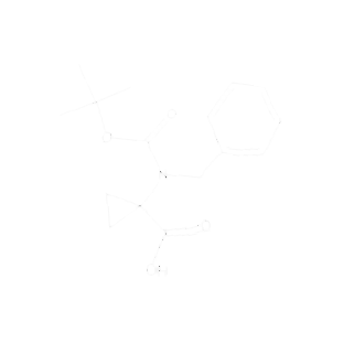 CC(C)(C)OC(=O)N(Cc1ccccc1)C1(C(=O)O)CC1